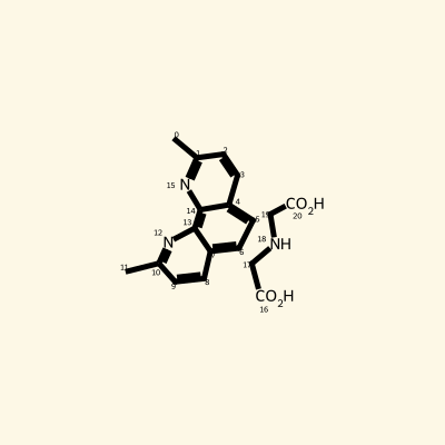 Cc1ccc2ccc3ccc(C)nc3c2n1.O=C(O)CNCC(=O)O